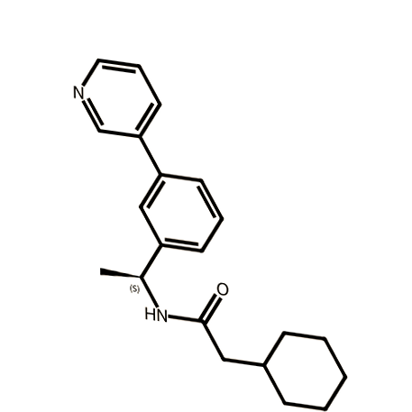 C[C@H](NC(=O)CC1CCCCC1)c1cccc(-c2cccnc2)c1